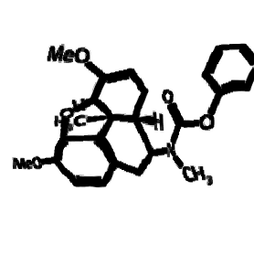 COC1=CC[C@@H]2C(N(C)C(=O)Oc3ccccc3)Cc3ccc(OC)c4c3[C@]2(C)[C@@H]1O4